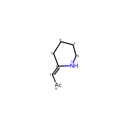 CC(=O)/C=C1/CCCCN1